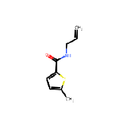 C=CCNC(=O)c1ccc(C)s1